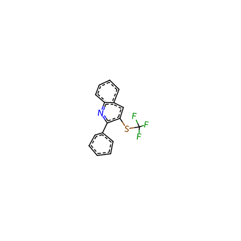 FC(F)(F)Sc1cc2ccccc2nc1-c1ccccc1